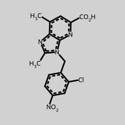 Cc1cc(C(=O)O)nc2c1nc(C)n2Cc1ccc([N+](=O)[O-])cc1Cl